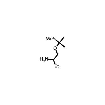 CCC(N)COC(C)(C)SC